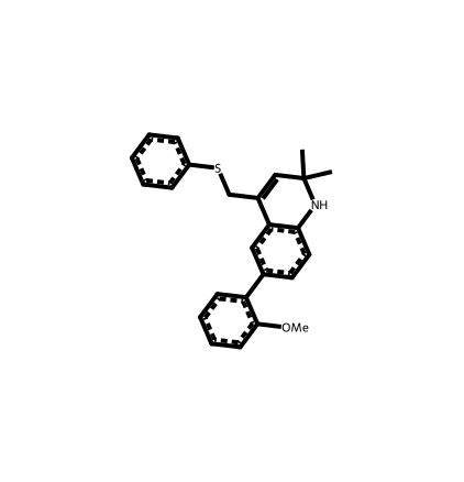 COc1ccccc1-c1ccc2c(c1)C(CSc1ccccc1)=CC(C)(C)N2